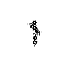 CN1CCN(c2ccc(C(=O)Nc3cc(-c4ccc(N(C(=O)O)c5ccccc5)cc4)n[nH]3)cc2)CC1